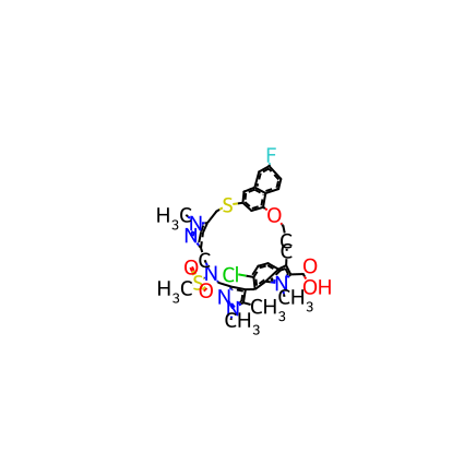 Cc1c2c(nn1C)CN(S(C)(=O)=O)Cc1cc(n(C)n1)CSc1cc(c3ccc(F)cc3c1)OCCCc1c(C(=O)O)n(C)c3c-2c(Cl)ccc13